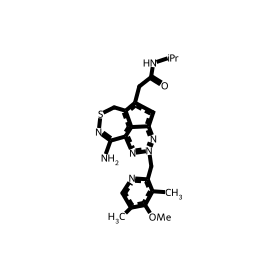 COc1c(C)cnc(Cn2nc3cc(CC(=O)NC(C)C)c4c-3c(n2)C(N)=NSC4)c1C